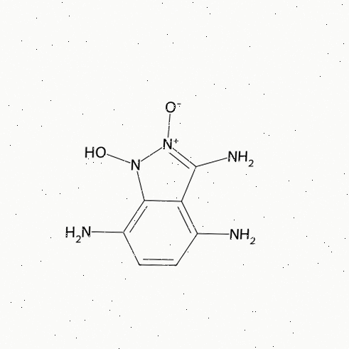 Nc1ccc(N)c2c1c(N)[n+]([O-])n2O